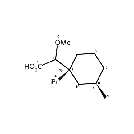 COC(C(=O)O)[C@]1(C(C)C)CCC[C@@H](C)C1